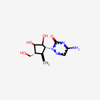 C=C1[C@@H](n2ncc(N)nc2=O)C(O)C(O)[C@H]1CO